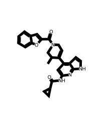 CC1CN(C(=O)c2cc3ccccc3o2)CC=C1c1cc(NC(=O)C2CC2)nc2[nH]ccc12